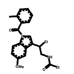 CCC(=O)NCC(CC)c1cn(C(=O)c2ccccc2C)c2ccc(OC)cc12